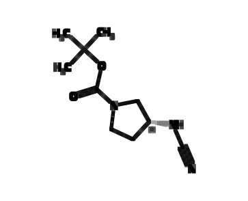 CC(C)(C)OC(=O)N1CC[C@@H](NC#N)C1